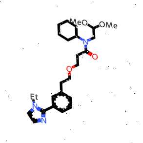 CCn1ccnc1-c1cccc(CCOCCC(=O)N(CC(OC)OC)C2CCCCC2)c1